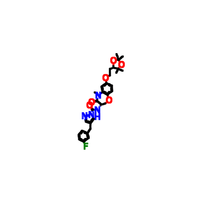 CN1C(=O)[C@@H](NC(=O)n2cc(Cc3cccc(F)c3)cn2)COc2ccc(OCC[C@H]3OC(C)(C)OC3(C)C)cc21